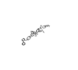 CCCN1CCC(CNc2ccc(S(=O)(=O)Nc3ncnc4cc(N5CCN(Cc6ccccc6-c6ccccc6)CC5)ccc34)cc2[N+](=O)[O-])CC1